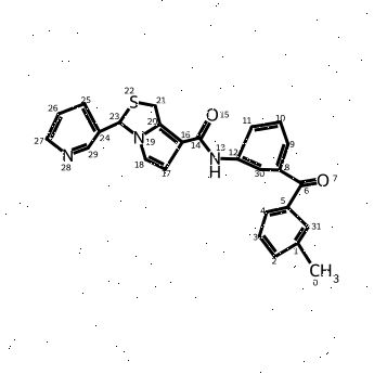 Cc1cccc(C(=O)c2cccc(NC(=O)c3ccn4c3CSC4c3cccnc3)c2)c1